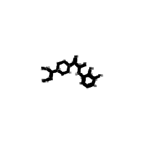 CSC(=NC#N)N1CCN(C(=O)C(C)Oc2cccc(F)c2F)CC1